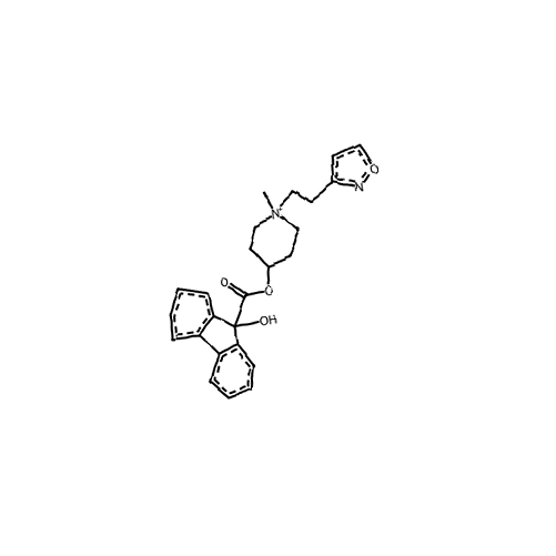 C[N+]1(CCc2ccon2)CCC(OC(=O)C2(O)c3ccccc3-c3ccccc32)CC1